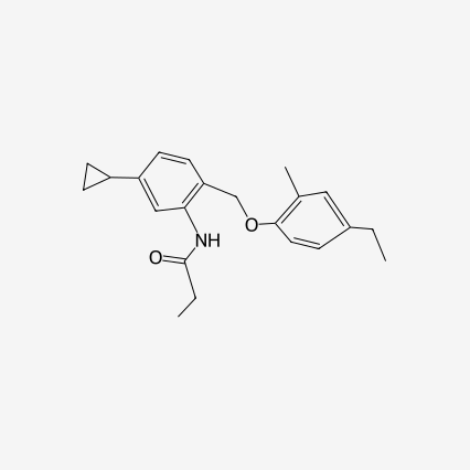 CCC(=O)Nc1cc(C2CC2)ccc1COc1ccc(CC)cc1C